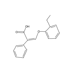 CCc1ccccc1OC=C(C(=O)O)c1ccccc1